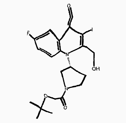 CC(C)(C)OC(=O)N1CC[C@@H](N2C(CO)=C(I)C(=C=O)c3cc(F)ccc32)C1